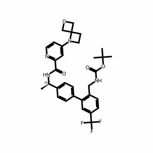 C[C@@H](NC(=O)c1cc(N2CCC23COC3)ccn1)c1ccc(-c2cc(C(F)(F)F)ccc2CNC(=O)OC(C)(C)C)cc1